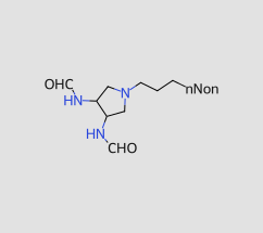 CCCCCCCCCCCCN1CC(NC=O)C(NC=O)C1